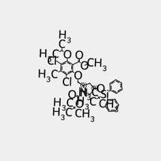 COC(=O)c1c(OC[C@H]2C[C@@H](O[Si](c3ccccc3)(c3ccccc3)C(C)(C)C)CN2C(=O)OC(C)(C)C)c(Cl)c(C)c(Cl)c1OC(C)C